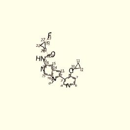 Cn1c(-c2cnccc2OC2CC2)cc2cc(NC(=O)[C@@H]3C[C@@H]3F)ncc21